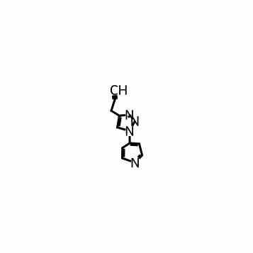 C#CCc1cn(-c2ccncc2)nn1